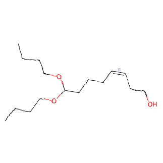 CCCCOC(CCC/C=C\CCO)OCCCC